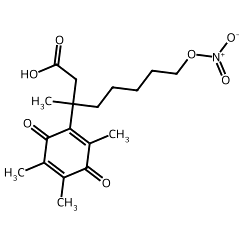 CC1=C(C)C(=O)C(C(C)(CCCCCO[N+](=O)[O-])CC(=O)O)=C(C)C1=O